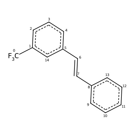 FC(F)(F)c1cccc(C=Cc2ccccc2)c1